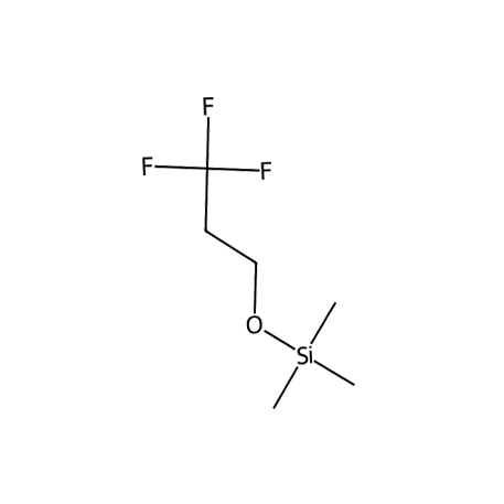 C[Si](C)(C)OCCC(F)(F)F